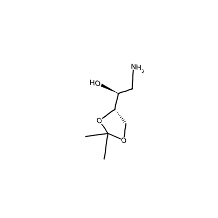 CC1(C)OC[C@@H]([C@@H](O)CN)O1